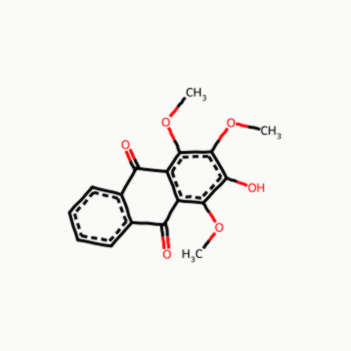 COc1c(O)c(OC)c2c(c1OC)C(=O)c1ccccc1C2=O